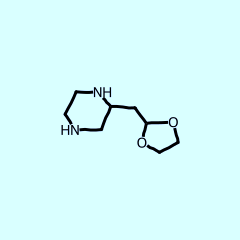 C1CNC(CC2OCCO2)CN1